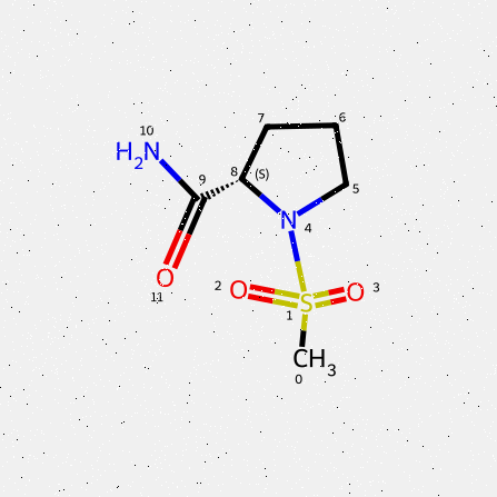 CS(=O)(=O)N1CCC[C@H]1C(N)=O